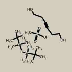 CC(C)(C)[Si](C)(C)O[Si](C)(C)C(C)(C)C.CS(=O)(=O)O.OCCC#CCCO